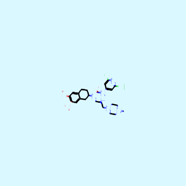 COc1cc2c(cc1OC)CC(N(CCCN1CCN(C)CC1)C(=O)Nc1cc(Cl)nc(Cl)c1)CC2